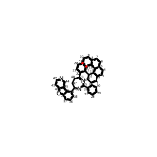 C1=Cc2ccc3ccc4cccnc4c3c2C(c2ccccc2C2=NC(c3ccccc3)=NC(c3cccc4oc5ccncc5c34)CC2)C1